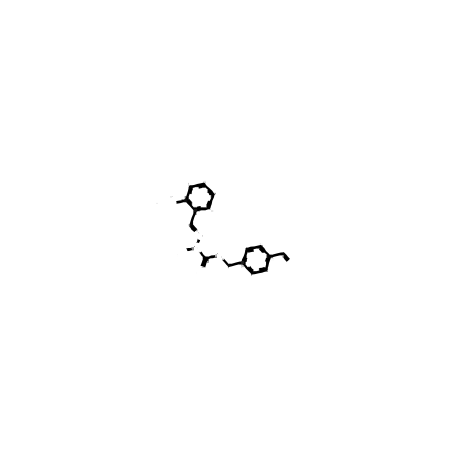 C=Cc1ccc(CNC(=S)N(C)N=Cc2ccccc2C(=O)O)cc1